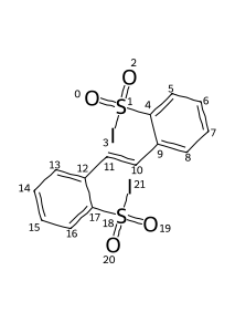 O=S(=O)(I)c1ccccc1/C=C/c1ccccc1S(=O)(=O)I